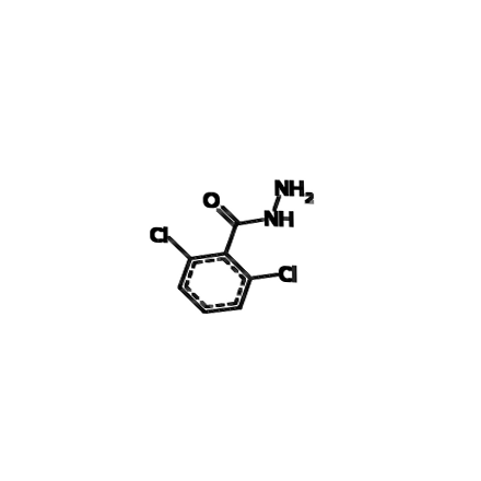 NNC(=O)c1c(Cl)cccc1Cl